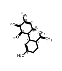 C=C(C)C1CCC(C)=CC1C1C(=O)C=C(CCC)C(=O)C1=O